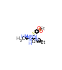 CCC1CCN(c2nc(Sc3ccc(S(=O)(=O)CC)cc3)nc(Nc3cc(C)[nH]n3)c2OC)CC1